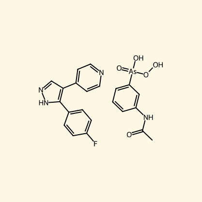 CC(=O)Nc1cccc([As](=O)(O)OO)c1.Fc1ccc(-c2[nH]ncc2-c2ccncc2)cc1